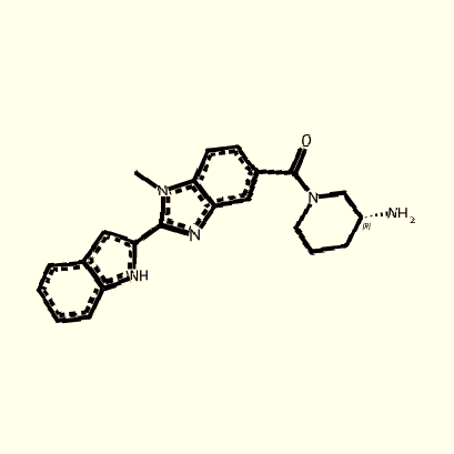 Cn1c(-c2cc3ccccc3[nH]2)nc2cc(C(=O)N3CCC[C@@H](N)C3)ccc21